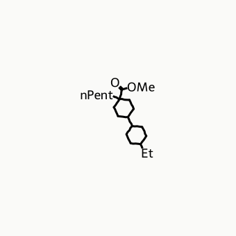 CCCCCC1(C(=O)OC)CCC(C2CCC(CC)CC2)CC1